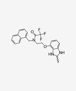 O=C(N(CCOc1cccc2[nH]c(=S)[nH]c12)Cc1cccc2ccccc12)C(F)(F)F